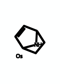 C1=CC2CCC1N2.[Os]